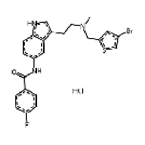 CN(CCc1c[nH]c2ccc(NC(=O)c3ccc(F)cc3)cc12)Cc1cc(Br)cs1.Cl